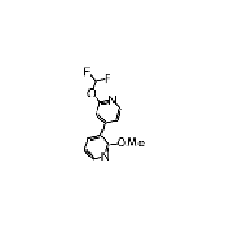 COc1ncccc1-c1ccnc(OC(F)F)c1